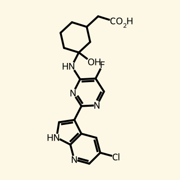 O=C(O)CC1CCCC(O)(Nc2nc(-c3c[nH]c4ncc(Cl)cc34)ncc2F)C1